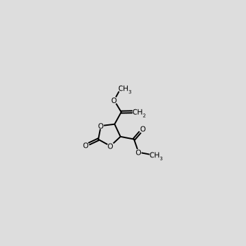 C=C(OC)C1OC(=O)OC1C(=O)OC